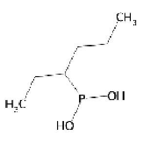 CCCC(CC)P(O)O